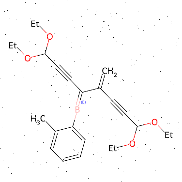 C=C(C#CC(OCC)OCC)/C(=B\c1ccccc1C)C#CC(OCC)OCC